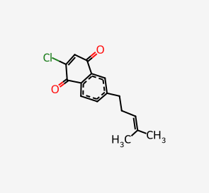 CC(C)=CCCc1ccc2c(c1)C(=O)C=C(Cl)C2=O